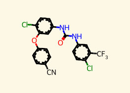 N#Cc1ccc(Oc2cc(NC(=O)Nc3ccc(Cl)c(C(F)(F)F)c3)ccc2Cl)cc1